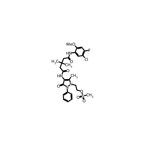 COc1cc(F)c(Cl)cc1NC(=O)CC(C)(C)CC(=O)Nc1c(C)n(CCOS(C)(=O)=O)n(-c2ccccc2)c1=O